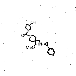 COCC1(CN[C@@H]2C[C@H]2c2ccccc2)CCN(C(=O)N2CC[C@@H](O)C2)CC1